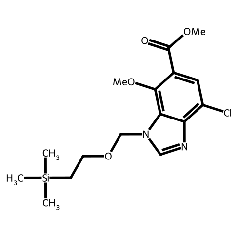 COC(=O)c1cc(Cl)c2ncn(COCC[Si](C)(C)C)c2c1OC